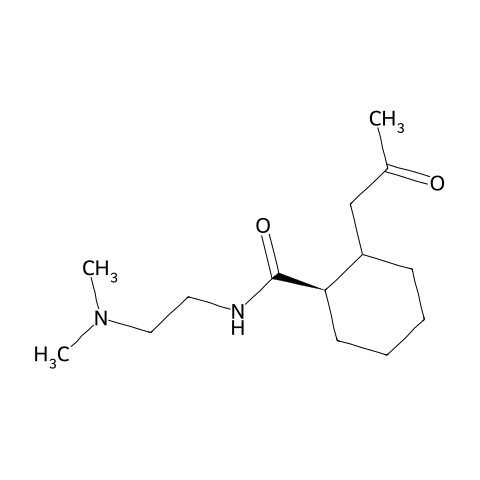 CC(=O)CC1CCCC[C@H]1C(=O)NCCN(C)C